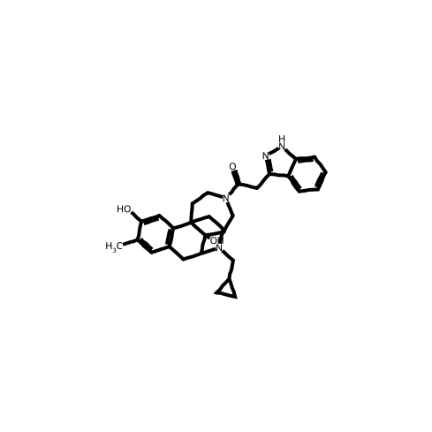 Cc1cc2c(cc1O)C13CCN(C(=O)Cc4n[nH]c5ccccc45)CCC1(O)C(C2)N(CC1CC1)CC3